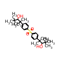 CC(C)(C)C(O)C(C)(C)c1ccc(S(=O)(=O)c2ccc(C(C)(C)C(O)C(C)(C)C)cc2)cc1